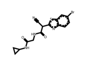 N#CC(C(=O)NCC(=O)NC1CC1)c1nc2ccc(Br)cc2s1